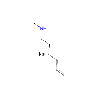 C=CCCCCNC.[Na]